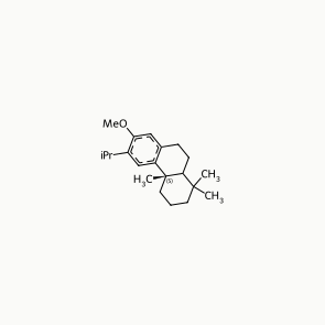 COc1cc2c(cc1C(C)C)[C@@]1(C)CCCC(C)(C)C1CC2